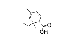 CCC1(C)C=C(C)C=CC1C(=O)O